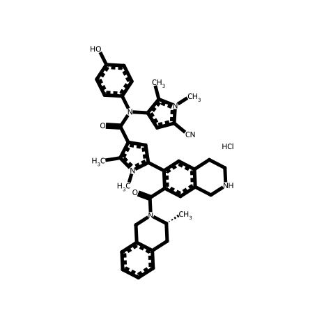 Cc1c(N(C(=O)c2cc(-c3cc4c(cc3C(=O)N3Cc5ccccc5C[C@H]3C)CNCC4)n(C)c2C)c2ccc(O)cc2)cc(C#N)n1C.Cl